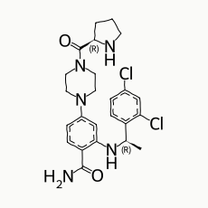 C[C@@H](Nc1cc(N2CCN(C(=O)[C@H]3CCCN3)CC2)ccc1C(N)=O)c1ccc(Cl)cc1Cl